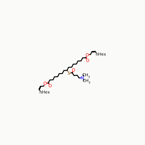 CCCCCC/C=C\COC(=O)CCCCCCCC(CCCCCCCC(=O)OC/C=C\CCCCCC)SC(=O)CCCN(C)C